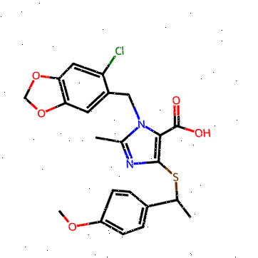 COc1ccc(C(C)Sc2nc(C)n(Cc3cc4c(cc3Cl)OCO4)c2C(=O)O)cc1